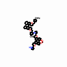 COc1ccc(CC(=O)/C=C\c2ccc3c(c2-c2c(/C=C\C(=O)Cc4ccc(OC)cc4-n4cccc4C(=O)/C=C\c4ccc5c6c(ccc5c4)OCOc4ccc5cc(/C=C\C(=O)c7ccc[nH]7)ccc5c4-6)ccc4c2CCCC4)CCCC3)cc1